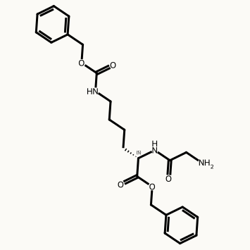 NCC(=O)N[C@@H](CCCCNC(=O)OCc1ccccc1)C(=O)OCc1ccccc1